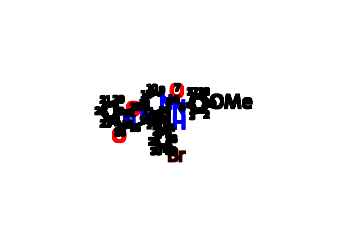 COc1ccc(NC(=O)N2C/C=C\CN3[C@H](CN4C(=O)c5ccccc5C4=O)[C@H](c4ccc(Br)cc4)[C@@H]3C2)cc1